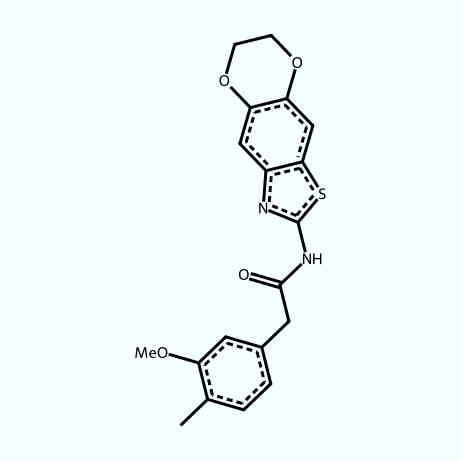 COc1cc(CC(=O)Nc2nc3cc4c(cc3s2)OCCO4)ccc1C